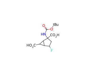 CC(C)(C)OC(=O)NC1(C(=O)O)CC(F)C2C(C(=O)O)C21